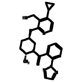 C[C@@H]1CC[C@@H](Oc2nccc(C3CC3)c2CO)CN1C(=O)c1ccccc1-n1nccn1